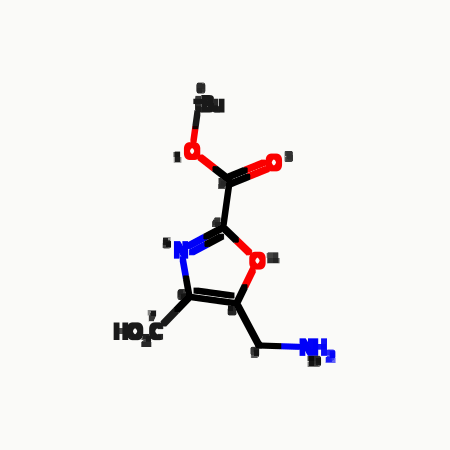 CC(C)(C)OC(=O)c1nc(C(=O)O)c(CN)o1